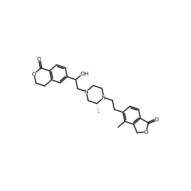 Cc1c(CCN2CCN(CC(O)c3ccc4c(c3)CCOC4=O)C[C@H]2C)ccc2c1COC2=O